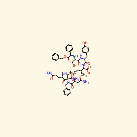 CCC(C)C(NC(=O)C(Cc1ccc(O)cc1)NC(=O)C(CS)NC(C(=O)OCc1ccccc1)c1ccccc1)C(=O)O.NC(=O)CCC(N)C(=O)C(CS)(C(=O)O)N(Cc1ccccc1)C(=O)C(N)CC(N)=O